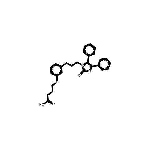 O=C(O)CCCOc1cccc(CCCn2c(-c3ccccc3)c(-c3ccccc3)oc2=O)c1